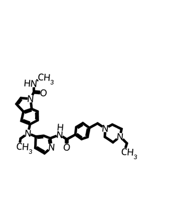 CCN1CCN(Cc2ccc(C(=O)Nc3cc(N(CC)c4ccc5c(ccn5C(=O)NC)c4)ccn3)cc2)CC1